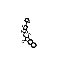 O=C1C(=Cc2nc3oc(-c4cccs4)cc3o2)C(=O)c2cc3ccccc3cc21